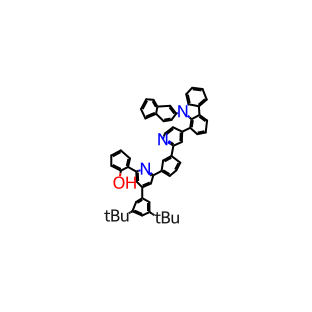 CC(C)(C)c1cc(-c2cc(-c3cccc(-c4cc(-c5cccc6c7ccccc7n(-c7ccc8ccccc8c7)c56)ccn4)c3)nc(-c3ccccc3O)c2)cc(C(C)(C)C)c1